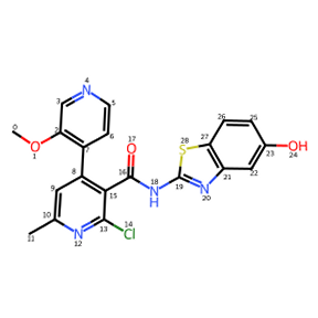 COc1cnccc1-c1cc(C)nc(Cl)c1C(=O)Nc1nc2cc(O)ccc2s1